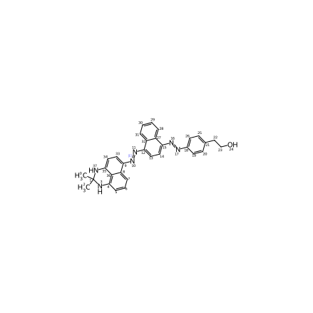 CC1(C)Nc2cccc3c(/N=N/c4ccc(N=Nc5ccc(CCO)cc5)c5ccccc45)ccc(c23)N1